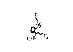 O=CC(CCCCl)c1ccccc1NC(=O)OCCCl